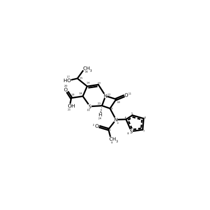 CC(=O)N(c1cccs1)C1C(=O)N2C=C(C(C)O)C(C(=O)O)S[C@H]12